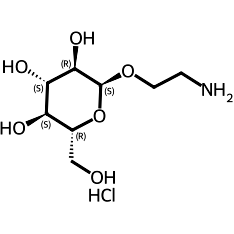 Cl.NCCO[C@H]1O[C@H](CO)[C@@H](O)[C@H](O)[C@H]1O